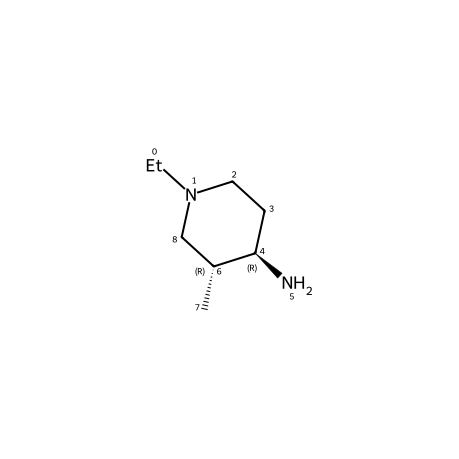 CCN1CC[C@@H](N)[C@H](C)C1